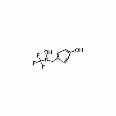 Oc1ccc(CN(O)C(F)(F)F)cc1